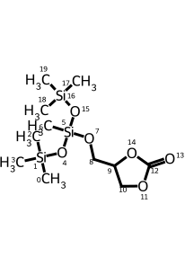 C[Si](C)(C)O[Si](C)(OCC1COC(=O)O1)O[Si](C)(C)C